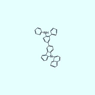 c1ccc(Nc2ccc(-c3ccc4c(c3)c3ccccc3n4-c3cccc4ccccc34)cc2-c2ccccc2)cc1